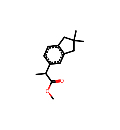 COC(=O)C(C)c1ccc2c(c1)CC(C)(C)C2